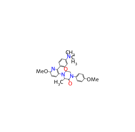 COc1ccc(N2CC(=O)N(c3ccc(OC)nc3-c3ccc(N(C)C)cc3)C(C)C2=O)cc1